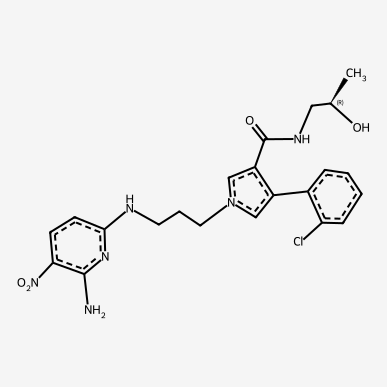 C[C@@H](O)CNC(=O)c1cn(CCCNc2ccc([N+](=O)[O-])c(N)n2)cc1-c1ccccc1Cl